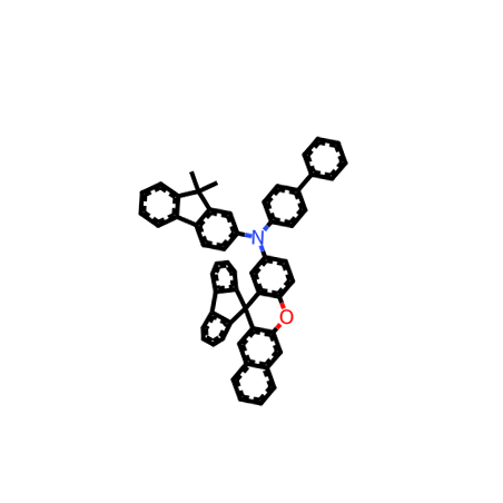 CC1(C)c2ccccc2-c2ccc(N(c3ccc(-c4ccccc4)cc3)c3ccc4c(c3)C3(c5cc6ccccc6cc5O4)c4ccccc4-c4ccccc43)cc21